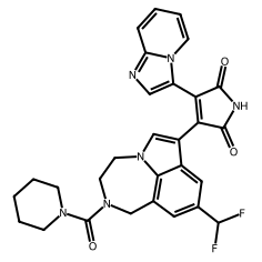 O=C1NC(=O)C(c2cnc3ccccn23)=C1c1cn2c3c(cc(C(F)F)cc13)CN(C(=O)N1CCCCC1)CC2